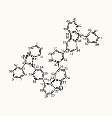 c1ccc(-c2nc3ccccc3n2-c2ccc(-c3cccc4oc5ccc(-c6cccc(-c7ccc8c(c7)c7ccccc7n8-c7ccccc7)c6)cc5c34)cc2)cc1